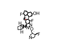 C#Cc1c(F)ccc2cc(O)cc(-c3c(F)cc4c(N5C[C@H]6CC[C@@H](C5)N6)nc(OC[C@]5(C)CN(C)CC/C5=C\F)nc4c3F)c12